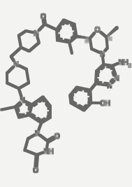 Cc1cc(C(=O)N2CCC(CN3CCC(n4c(C)cc5c(N6CCC(=O)NC6=O)cccc54)CC3)CC2)ccc1[C@@H]1CN(c2cc(-c3ccccc3O)nnc2N)C[C@H](C)O1